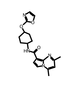 Cc1cc(C)n2ccc(C(=O)NC3CCC(Oc4ncco4)CC3)c2n1